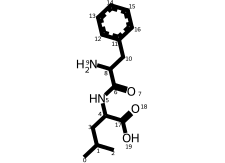 CC(C)CC(NC(=O)C(N)Cc1ccccc1)C(=O)O